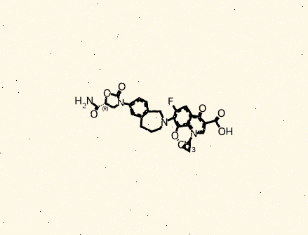 COc1c(N2CCCc3cc(N4C[C@H](C(N)=O)OC4=O)ccc3C2)c(F)cc2c(=O)c(C(=O)O)cn(C3CC3)c12